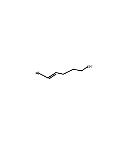 CCCCCCC=[CH][Al]